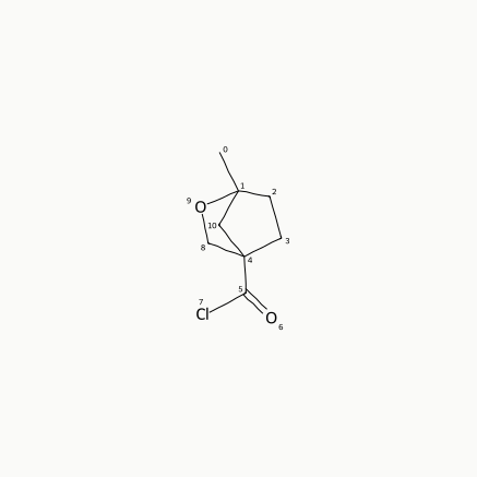 CC12CCC(C(=O)Cl)(CO1)C2